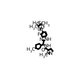 CC1CCC([C@H](NC(=O)c2ccnn2C)c2nc3c(F)c(B4OC(C)(C)C(C)(C)O4)ccc3[nH]2)CC1